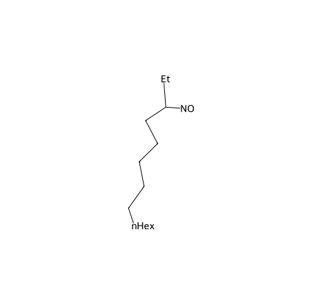 CCCCCCCCCCCC(CC)N=O